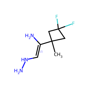 CC1(/C(N)=C/NN)CC(F)(F)C1